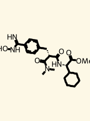 COC(=O)[C@@H](NC(=O)[C@@H](Cc1ccc(C(=N)NO)cc1)C(=O)N(C)C)C1CCCCC1